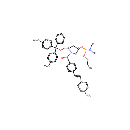 COc1ccc(C(OC[C@@H]2C[C@@H](OP(OCCC#N)N(C(C)C)C(C)C)CN2C(=O)c2ccc(/C=C/c3ccc([N+](=O)[O-])cc3)cc2)(c2ccccc2)c2ccc(OC)cc2)cc1